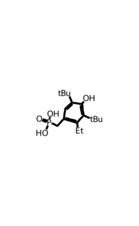 CCc1c(CP(=O)(O)O)cc(C(C)(C)C)c(O)c1C(C)(C)C